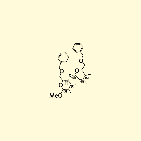 CO[C@H]1OC(COCc2ccccc2)[C@H](S[C@H]2C[C@@H](C)[C@H](C)C(COCc3ccccc3)O2)[C@H](C)C1C